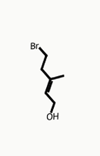 C/C(=C\CO)CCBr